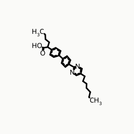 CCCCCCCc1cnc(-c2ccc(-c3ccc(C(CCCC)C(=O)O)cc3)cc2)nc1